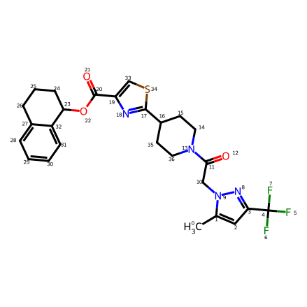 Cc1cc(C(F)(F)F)nn1CC(=O)N1CCC(c2nc(C(=O)OC3CCCc4ccccc43)cs2)CC1